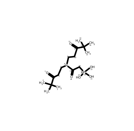 CC(C)(C)C(=O)CCN(CCC(=O)C(C)(C)C)C(=O)C[PH](O)(O)O